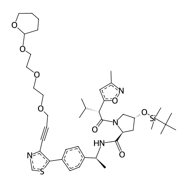 Cc1cc([C@H](C(=O)N2C[C@H](O[Si](C)(C)C(C)(C)C)C[C@H]2C(=O)N[C@@H](C)c2ccc(-c3scnc3C#CCOCCOCCOC3CCCCO3)cc2)C(C)C)on1